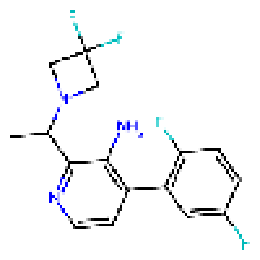 CC(c1nccc(-c2cc(F)ccc2F)c1N)N1CC(F)(F)C1